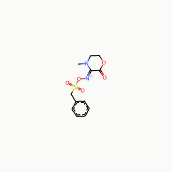 CN1CCOC(=O)/C1=N/OS(=O)(=O)Cc1ccccc1